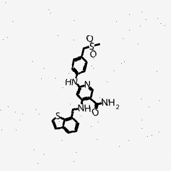 CS(=O)(=O)Cc1ccc(Nc2cc(NCc3cccc4ccsc34)c(C(N)=O)cn2)cc1